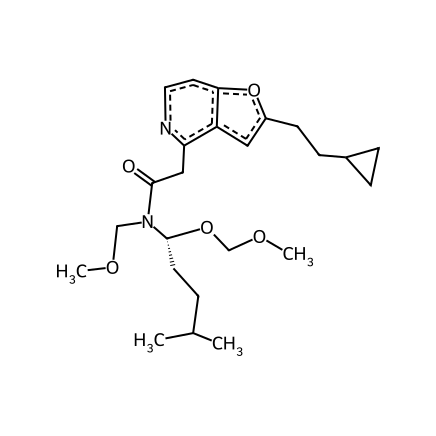 COCO[C@H](CCC(C)C)N(COC)C(=O)Cc1nccc2oc(CCC3CC3)cc12